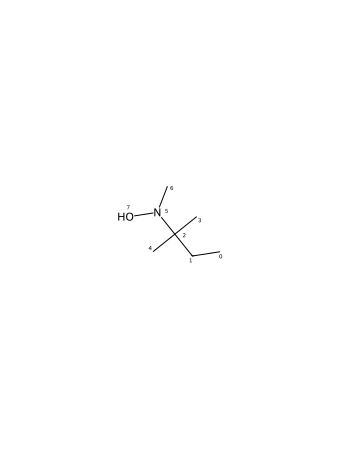 CCC(C)(C)N(C)O